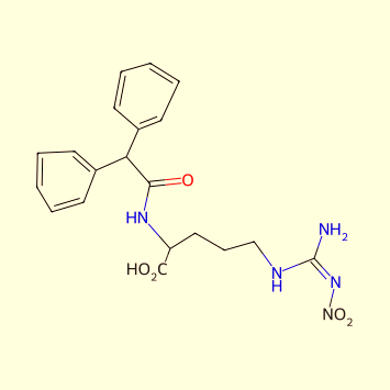 N/C(=N/[N+](=O)[O-])NCCCC(NC(=O)C(c1ccccc1)c1ccccc1)C(=O)O